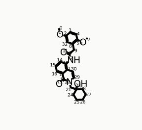 COc1ccc(OC)c(CC(=O)Nc2cccc3c(=O)n(CC4(O)CCCCC4)ccc23)c1